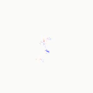 CCCCC(CCC)C(CCC)(CCCC)NOS(=O)(=O)ON1C(=O)N2C[C@@H]1CC[C@H]2c1nnc(CCCN(C)C(=O)OC(C)(C)C)o1